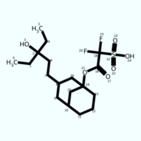 CCC(O)(CC)CCC1CC2CCCC(OC(=O)C(F)(F)S(=O)(=O)O)(C2)C1